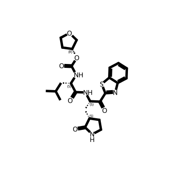 CC(C)C[C@H](NC(=O)O[C@@H]1CCOC1)C(=O)N[C@@H](C[C@@H]1CCNC1=O)C(=O)c1nc2ccccc2s1